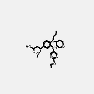 CCCN(c1ccc([C@H](COC)CC(=O)O)cc1Nc1cnc(OCC)nc1)C1CCOCC1